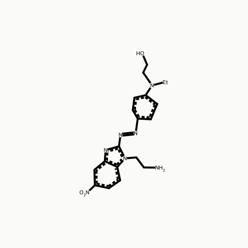 CCN(CCO)c1ccc(N=Nc2nc3cc([N+](=O)[O-])ccc3n2CCN)cc1